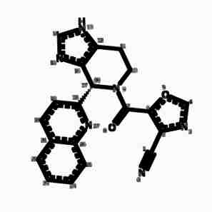 N#Cc1ncoc1C(=O)N1CCc2[nH]cnc2[C@H]1c1ccc2ccccc2n1